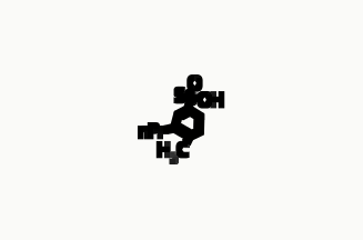 CCCc1cc(S(=O)(O)=S)ccc1C